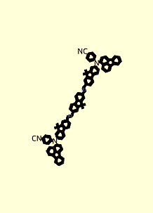 [C-]#[N+]c1ccc(N(c2ccc3c(c2)C(C)(C)c2cc(/C=C/c4ccc5c(c4)C(C)(C)c4cc(/C=C/c6ccc7c(c6)C(C)(C)c6cc(N(c8ccc(C#N)cc8)c8ccc9c%10c(cccc8%10)-c8ccccc8-9)ccc6-7)ccc4-5)ccc2-3)c2ccc3c4c(cccc24)-c2ccccc2-3)cc1